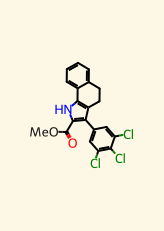 COC(=O)c1[nH]c2c(c1-c1cc(Cl)c(Cl)c(Cl)c1)CCc1ccccc1-2